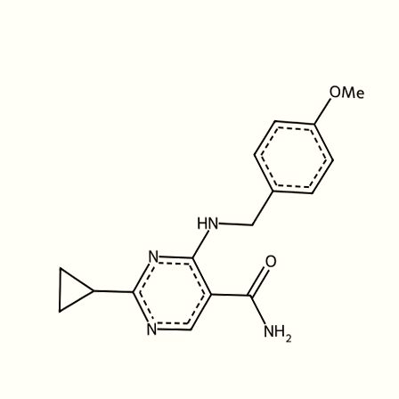 COc1ccc(CNc2nc(C3CC3)ncc2C(N)=O)cc1